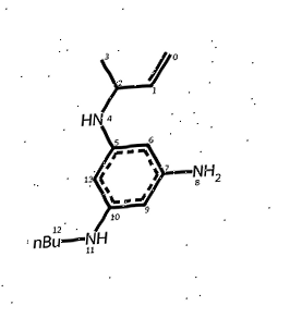 C=CC(C)Nc1cc(N)cc(NCCCC)c1